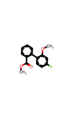 COC(=O)c1ccccc1-c1ccc(F)cc1OC